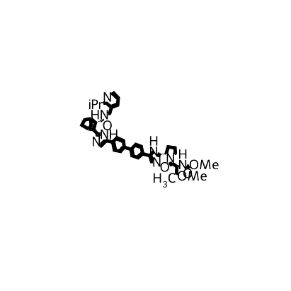 COC(=O)N[C@H](C(=O)N1CCC[C@H]1c1ncc(-c2ccc(-c3ccc(-c4cnc(C5C6CCC(C6)[C@@H]5C(=O)NCc5cccnc5C(C)C)[nH]4)cc3)cc2)[nH]1)[C@@H](C)OC